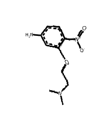 CN(C)CCOc1cc(N)ccc1[N+](=O)[O-]